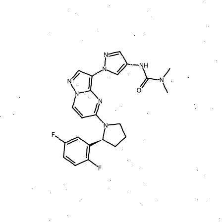 CN(C)C(=O)Nc1cnn(-c2cnn3ccc(N4CCC[C@H]4c4cc(F)ccc4F)nc23)c1